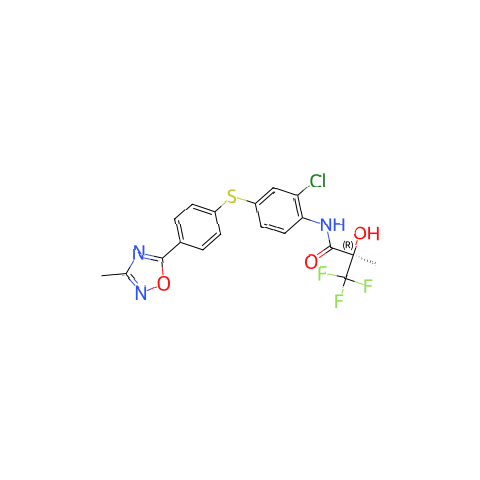 Cc1noc(-c2ccc(Sc3ccc(NC(=O)[C@@](C)(O)C(F)(F)F)c(Cl)c3)cc2)n1